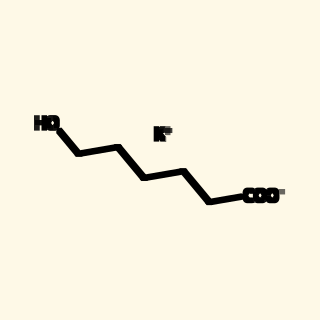 O=C([O-])CCCCCO.[K+]